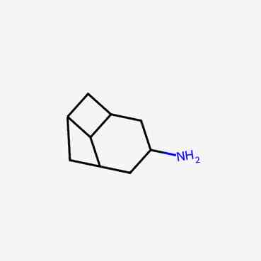 NC1CC2CC3CC(C1)C23